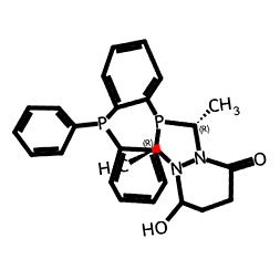 C[C@@H]1N2C(=O)CCC(O)N2[C@@H](C)P1c1ccccc1P(c1ccccc1)c1ccccc1